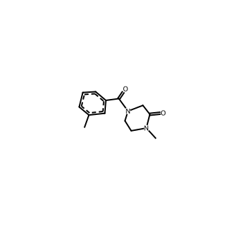 Cc1cccc(C(=O)N2CCN(C)C(=O)C2)c1